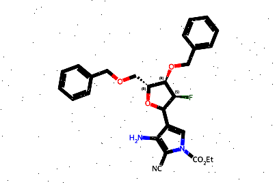 CCOC(=O)n1cc(C2O[C@H](COCc3ccccc3)[C@@H](OCc3ccccc3)[C@H]2F)c(N)c1C#N